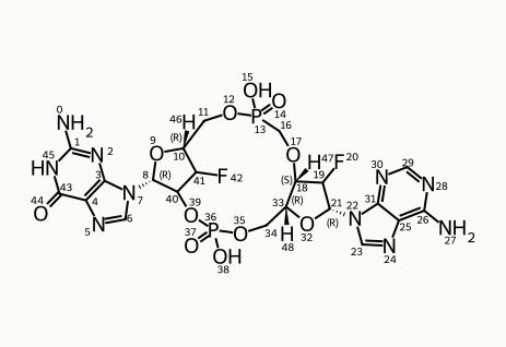 Nc1nc2c(ncn2[C@@H]2O[C@@H]3COP(=O)(O)CO[C@@H]4C(F)[C@H](n5cnc6c(N)ncnc65)O[C@@H]4COP(=O)(O)OC2C3F)c(=O)[nH]1